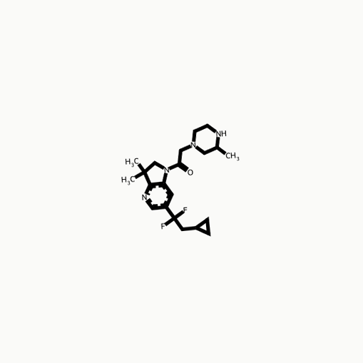 CC1CN(CC(=O)N2CC(C)(C)c3ncc(C(F)(F)CC4CC4)cc32)CCN1